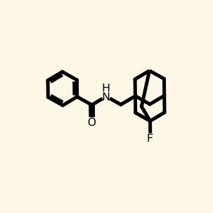 O=C(NCC12CC3CC(CC(F)(C3)C1)C2)c1ccccc1